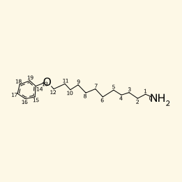 NCCCCCCCCCCCCOc1ccccc1